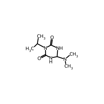 CC(C)N1C(=O)NC(N(C)C)NC1=O